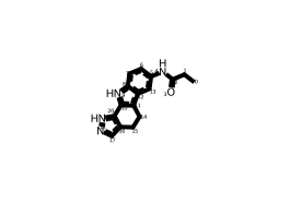 CCC(=O)Nc1ccc2[nH]c3c(c2c1)CCc1cn[nH]c1-3